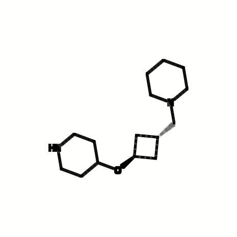 C1CCN(C[C@H]2C[C@H](OC3CCNCC3)C2)CC1